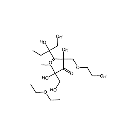 CCC(O)(CO)C(=O)C(O)(COCCO)C(=O)C(O)(CC)CO.CCOCC